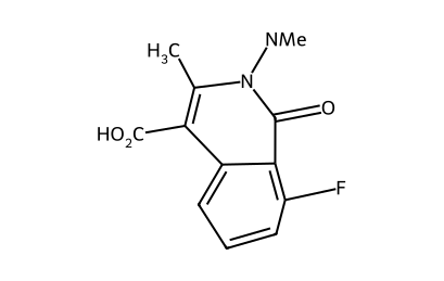 CNn1c(C)c(C(=O)O)c2cccc(F)c2c1=O